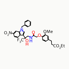 CCOC(=O)CCc1ccc(OCC(=O)NCC(O)(c2cn(Cc3ccccc3)c3cc([N+](=O)[O-])ccc23)C(F)(F)F)c(OC)c1